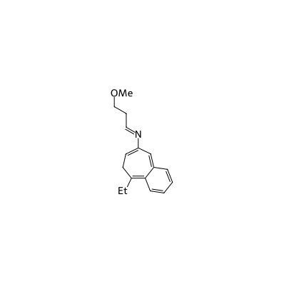 CCC1=c2ccccc2=CC(/N=C/CCOC)=CC1